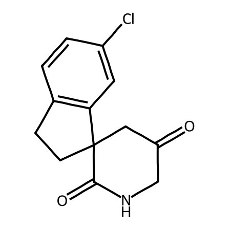 O=C1CNC(=O)C2(CCc3ccc(Cl)cc32)C1